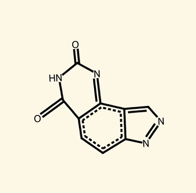 O=C1N=c2c(ccc3c2=CN=N3)C(=O)N1